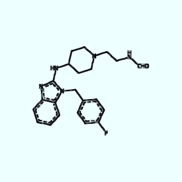 O=CNCCN1CCC(Nc2nc3ccccc3n2Cc2ccc(F)cc2)CC1